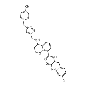 N#Cc1ccc(Cn2cnc(CNC3CCOc4c(C(=O)N[C@@H](Cc5ccc(Cl)cc5)C(N)=O)cccc43)c2)cc1